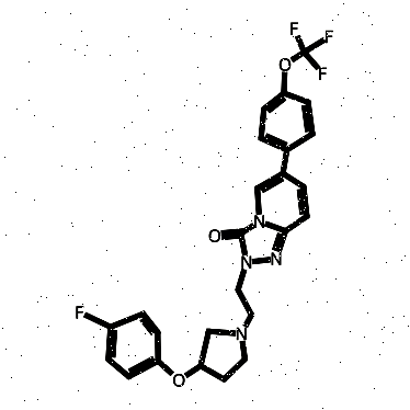 O=c1n(CCN2CCC(Oc3ccc(F)cc3)C2)nc2ccc(-c3ccc(OC(F)(F)F)cc3)cn12